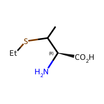 CCSC(C)[C@H](N)C(=O)O